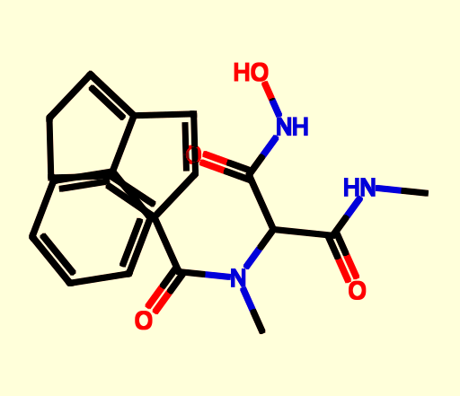 CNC(=O)C(C(=O)NO)N(C)C(=O)C1=C\CC/C=C(c2ccccc2)/C=C\1